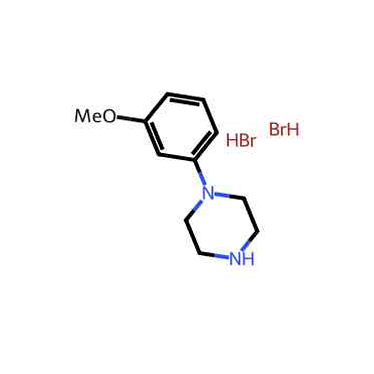 Br.Br.COc1cccc(N2CCNCC2)c1